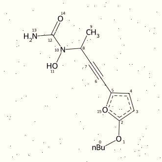 CCCCOc1ccc(C#CC(C)N(O)C(N)=O)o1